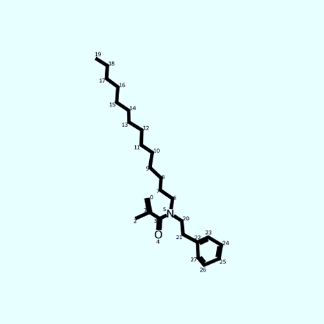 C=C(C)C(=O)N(CCCCCCCCCCCCCC)CCc1ccccc1